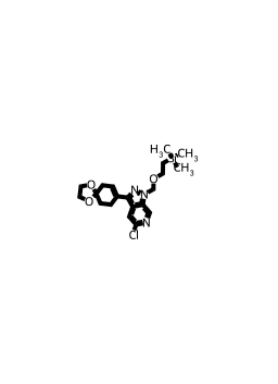 C[Si](C)(C)CCOCn1nc(C2=CCC3(CC2)OCCO3)c2cc(Cl)ncc21